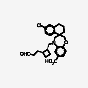 O=CCC[C@@H]1CC[C@H]1CN1CC2(CCCc3cc(Cl)ccc32)COc2ccc(C(=O)O)cc21